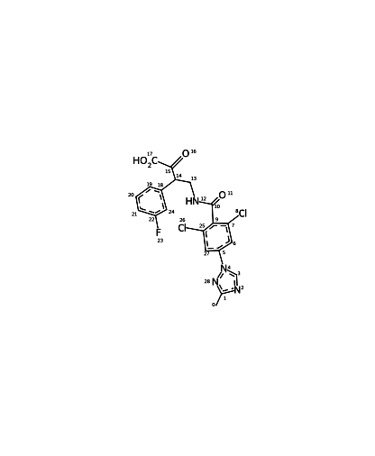 Cc1ncn(-c2cc(Cl)c(C(=O)NCC(C(=O)C(=O)O)c3cccc(F)c3)c(Cl)c2)n1